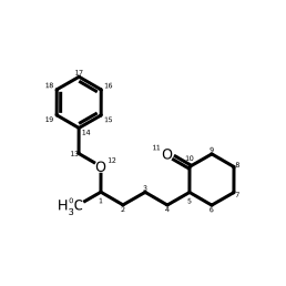 CC(CCCC1CCCCC1=O)OCc1ccccc1